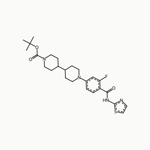 CC(C)(C)OC(=O)N1CCC(C2CCN(c3ccc(C(=O)Nc4nccs4)c(F)c3)CC2)CC1